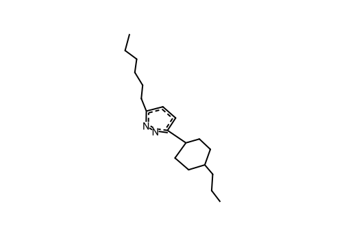 CCCCCCc1ccc(C2CCC(CCC)CC2)nn1